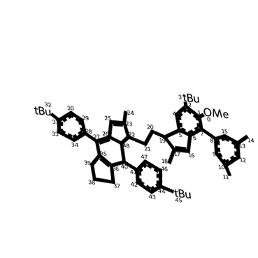 COc1c(C(C)(C)C)cc2c(c1-c1cc(C)cc(C)c1)C=C(C)C2CCC1C(C)=CC2=C(c3ccc(C(C)(C)C)cc3)C3=C(CCC3)C(c3ccc(C(C)(C)C)cc3)C21